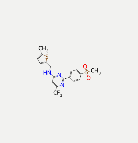 Cc1ccc(CNc2cc(C(F)(F)F)nc(-c3ccc(S(C)(=O)=O)cc3)n2)s1